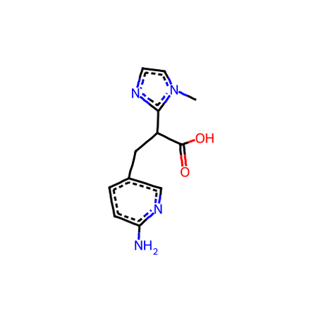 Cn1ccnc1C(Cc1ccc(N)nc1)C(=O)O